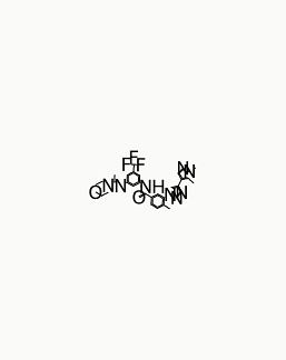 C/C(=N\c1cc(NC(=O)c2ccc(C)c(-n3cc(-c4cnn(C)c4C)nn3)c2)cc(C(F)(F)F)c1)N1CCOCC1